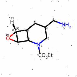 CCOC(=O)N1CC(CN)CC2C1C1O[C@H]21